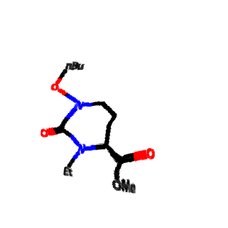 CCCCON1CC[C@@H](C(=O)OC)N(CC)C1=O